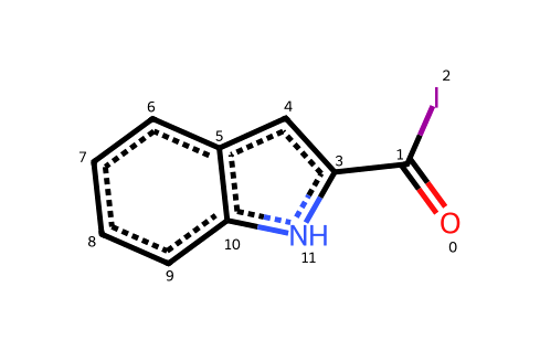 O=C(I)c1cc2ccccc2[nH]1